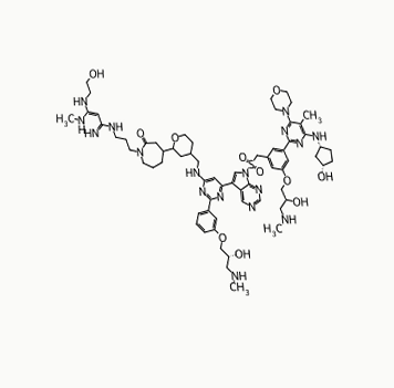 CNCC(O)COc1cc(CS(=O)(=O)n2cc(-c3cc(NCC4CCOC(C5CCCN(CCCNC(=N)/C=C(\NC)NCCO)C(=O)C5)C4)nc(-c4cccc(OC[C@H](O)CNC)c4)n3)c3cncnc32)cc(-c2nc(N[C@@H]3CC[C@H](O)C3)c(C)c(N3CCOCC3)n2)c1